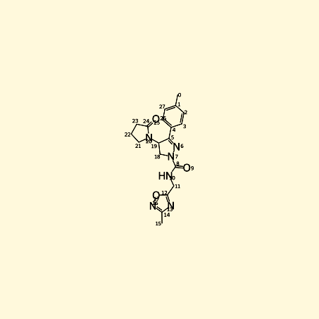 Cc1ccc(C2=NN(C(=O)NCc3nc(C)no3)CC2N2CCCC2=O)cc1